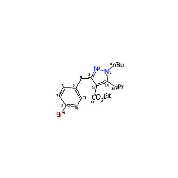 CCCCn1nc(Cc2ccc(Br)cc2)c(C(=O)OCC)c1C(C)C